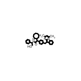 Cc1cc(C)n2c(n1)c(Cc1ccc(C(C(=O)NC(CO)c3ccccc3)C3CCCCCCC3)cc1)c1ccccc12